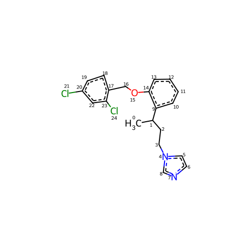 CC(CCn1ccnc1)c1ccccc1OCc1ccc(Cl)cc1Cl